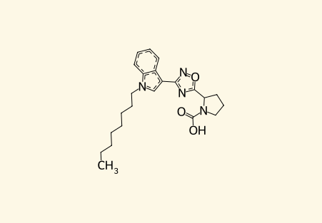 CCCCCCCCn1cc(-c2noc(C3CCCN3C(=O)O)n2)c2ccccc21